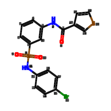 O=C(Nc1cccc(S(=O)(=O)Nc2ccc(Br)cc2)c1)c1ccsc1